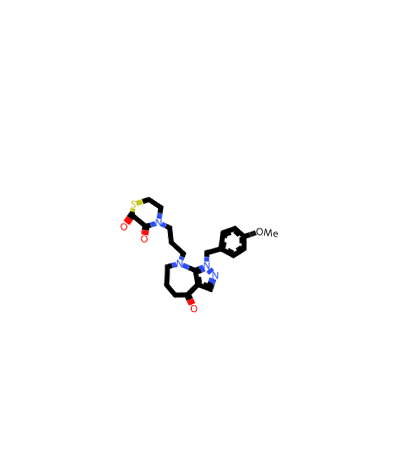 COc1ccc(Cn2ncc3c2N(CCCN2CCSC(=O)C2=O)CCCC3=O)cc1